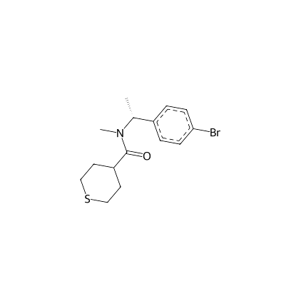 C[C@H](c1ccc(Br)cc1)N(C)C(=O)C1CCSCC1